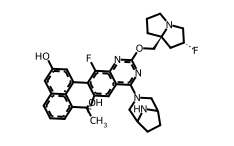 CC(O)c1cccc2cc(O)cc(-c3c(F)cc4c(N5CC6CCC(C5)N6)nc(OC[C@@]56CCCN5C[C@H](F)C6)nc4c3F)c12